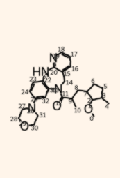 COC1C(C)CCC1CC(C)C(=O)N1Cc2cccnc2Nc2ccc(N3CCOCC3)cc21